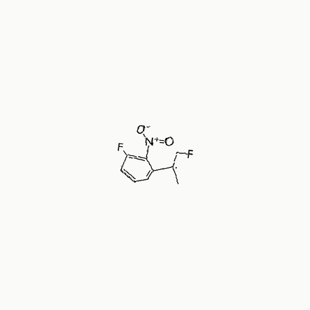 C[C](CF)c1cccc(F)c1[N+](=O)[O-]